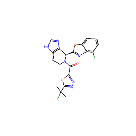 CC(C)(F)c1nnc(C(=O)N2CCc3[nH]cnc3[C@H]2c2nc3c(F)cccc3s2)o1